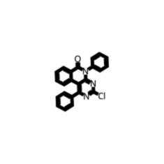 O=c1c2ccccc2c2c(-c3ccccc3)nc(Cl)nc2n1-c1ccccc1